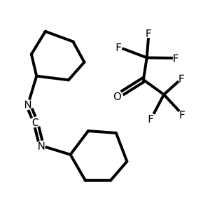 C(=NC1CCCCC1)=NC1CCCCC1.O=C(C(F)(F)F)C(F)(F)F